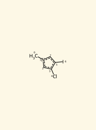 Cn1cc(Cl)c(I)c1